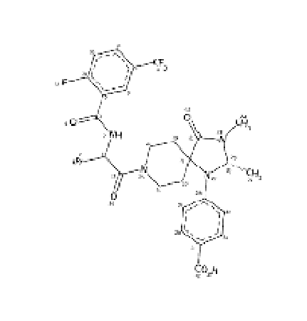 CC(C)C(NC(=O)c1cc(C(F)(F)F)ccc1F)C(=O)N1CCC2(CC1)C(=O)N(C)[C@H](C)N2c1ccc(C(=O)O)cc1